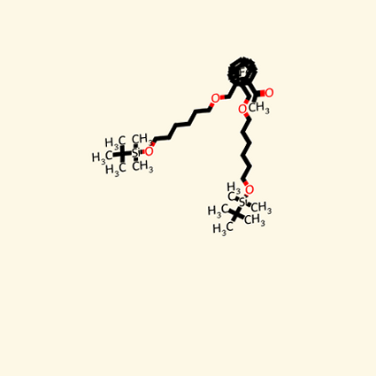 CC(=O)[C]12[CH]3[CH]4[CH]5[C]1(COCCCCCCO[Si](C)(C)C(C)(C)C)[Fe]45321678[CH]2[CH]1[CH]6[C]7(COCCCCCCO[Si](C)(C)C(C)(C)C)[CH]28